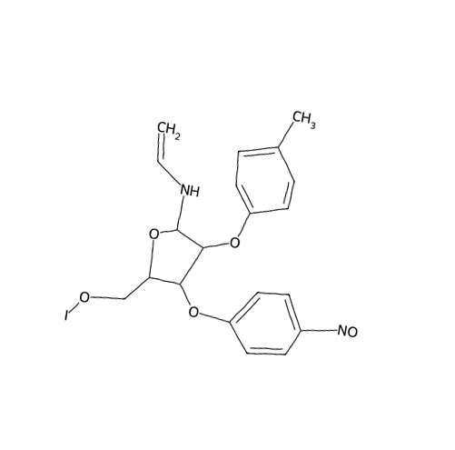 C=CNC1OC(COI)C(Oc2ccc(N=O)cc2)C1Oc1ccc(C)cc1